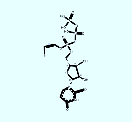 O=c1ccn([C@@H]2O[C@H](COP(=O)(O/C=C\Br)OP(=O)(O)OP(=O)(O)O)[C@@H](O)[C@H]2O)c(=O)[nH]1